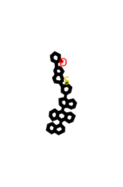 c1ccc2c(-c3c4ccccc4c(-c4ccc(-c5ccc6sc7c8cc9oc%10ccccc%10c9cc8ccc7c6c5)c5ccccc45)c4ccccc34)cccc2c1